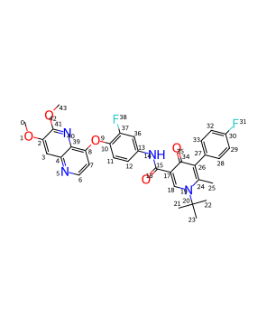 COc1cc2nccc(Oc3ccc(NC(=O)c4cn(C(C)(C)C)c(C)c(-c5ccc(F)cc5)c4=O)cc3F)c2nc1OC